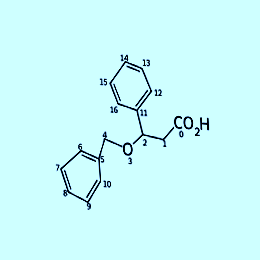 O=C(O)CC(OCc1ccccc1)c1ccccc1